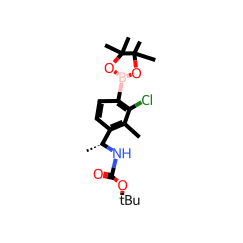 Cc1c([C@@H](C)NC(=O)OC(C)(C)C)ccc(B2OC(C)(C)C(C)(C)O2)c1Cl